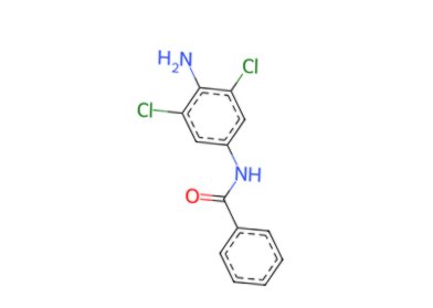 Nc1c(Cl)cc(NC(=O)c2ccccc2)cc1Cl